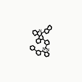 c1ccc(-c2cccc(-c3nc(-c4cccc(-c5cc6c(-c7ccc8ccccc8c7)nc7ccccc7c6c6ccccc56)c4)nc4ccccc34)c2)cc1